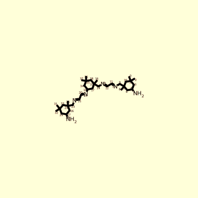 CC1(C)CC(N)CC(C)(C/N=C/C=N/CC2(C)CC(/N=C/C=N/CC3(C)CC(N)CC(C)(C)C3)CC(C)(C)C2)C1